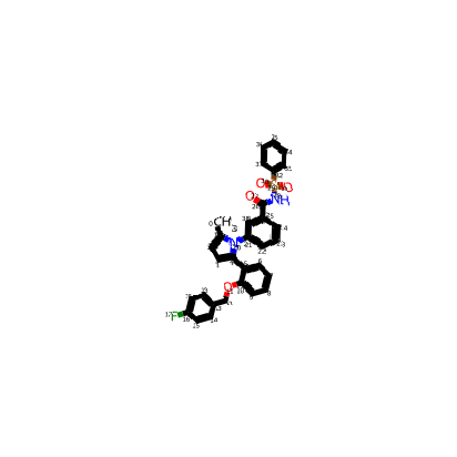 Cc1ccc(-c2ccccc2OCc2ccc(F)cc2)n1-c1cccc(C(=O)NS(=O)(=O)c2ccccc2)c1